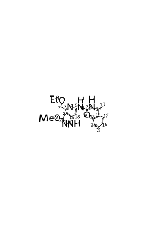 CCOCc1nc(NC(=O)NC(C)c2ccccc2)cc2[nH]nc(OC)c12